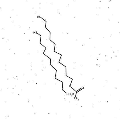 O=C(O)CCCCCCCCCCS.O=C(OCCCCCCCCCCCS)C(F)(F)F